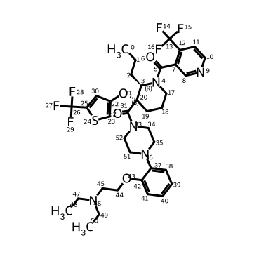 CCC[C@H]1N(C(=O)c2cnccc2C(F)(F)F)CCC[C@@]1(Oc1csc(C(F)(F)F)c1)C(=O)N1CCN(c2ccccc2OCCN(CC)CC)CC1